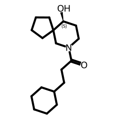 O=C(CCC1CCCCC1)N1CC[C@H](O)C2(CCCC2)C1